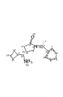 C[C@H](c1ccccc1)N1C[C@H](C(N)C2CCC2)CC1=O